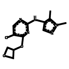 Cc1c(Nc2ncc(Cl)c(OC3COC3)n2)cnn1C